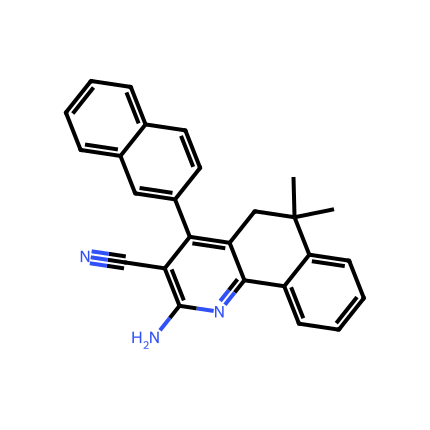 CC1(C)Cc2c(nc(N)c(C#N)c2-c2ccc3ccccc3c2)-c2ccccc21